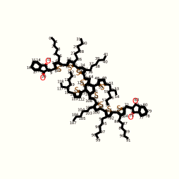 CCCCCCc1cc(C=C2C(=O)c3ccccc3C2=O)sc1-c1cc(CCCCCC)c(-c2cc(CCCCCC)c(-c3cc4c(-c5ccc(CC(CC)CCCC)s5)c5sc(-c6sc(-c7sc(-c8sc(C=C9C(=O)c%10ccccc%10C9=O)cc8CCCCCC)cc7CCCCCC)cc6CCCCCC)cc5c(-c5ccc(CC(CC)CCCC)s5)c4s3)s2)s1